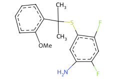 COc1ccccc1C(C)(C)Sc1cc(N)c(F)cc1F